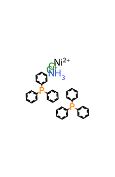 N.[Cl-].[Cl-].[Ni+2].c1ccc(P(c2ccccc2)c2ccccc2)cc1.c1ccc(P(c2ccccc2)c2ccccc2)cc1